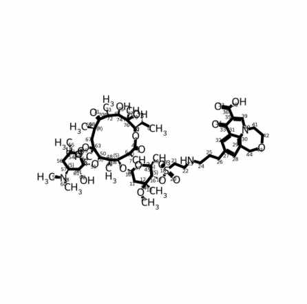 CC[C@H]1OC(=O)[C@H](C)[C@@H](O[C@H]2C[C@@](C)(OC)[C@@H](OS(=O)(=O)CCNCCCc3cc4c5c(c3)c(=O)c(C(=O)O)cn5CCOC4)[C@H](C)O2)[C@H](C)[C@H](O[C@H]2O[C@@H](C)C[C@H](N(C)C)[C@H]2O)[C@](C)(OC)C[C@@H](C)C(=O)[C@H](C)[C@@H](O)[C@]1(C)O